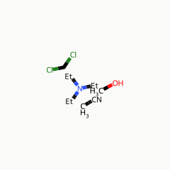 CC#N.CCN(CC)CC.CO.ClCCl